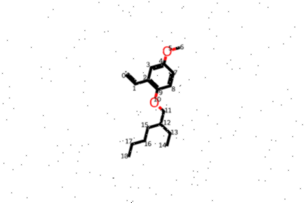 [CH]=Cc1cc(OC)[c]cc1OCC(CC)CCCC